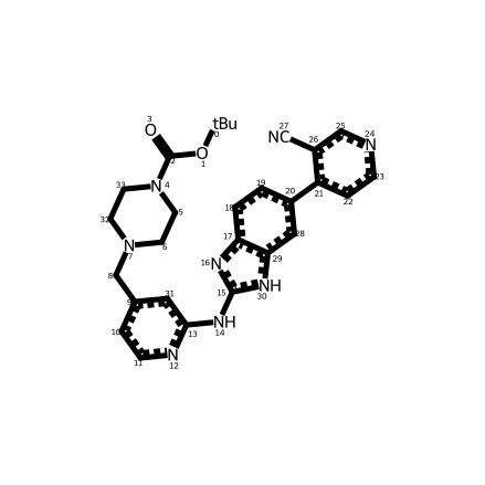 CC(C)(C)OC(=O)N1CCN(Cc2ccnc(Nc3nc4ccc(-c5ccncc5C#N)cc4[nH]3)c2)CC1